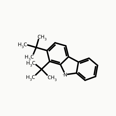 CC(C)(C)c1ccc2c(c1C(C)(C)C)[N]c1ccccc1-2